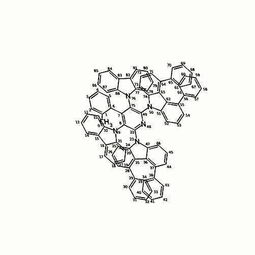 Cc1ccccc1-c1c(-n2c3ccccc3c3ccccc32)c(-n2c3cccc(-c4ccccc4)c3c3c(-c4ccccc4)cccc32)nc(-n2c3cccc(-c4ccccc4)c3c3c(-c4ccccc4)cccc32)c1-n1c2ccccc2c2ccccc21